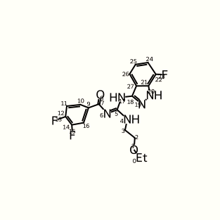 CCOCCN/C(=N/C(=O)c1ccc(F)c(F)c1)Nc1n[nH]c2c(F)cccc12